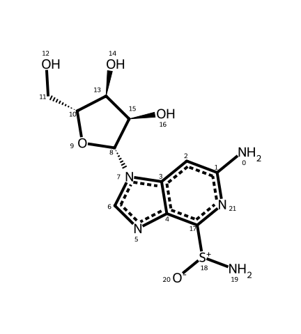 Nc1cc2c(ncn2[C@@H]2O[C@H](CO)[C@@H](O)[C@H]2O)c([S+](N)[O-])n1